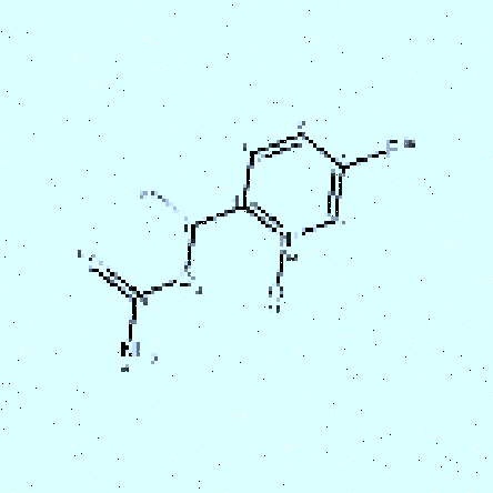 C[C@@H](OC(N)=O)c1ccc(F)c[n+]1[O-]